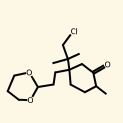 CC1CCC(CCC2OCCCO2)(C(C)(C)CCl)CC1=O